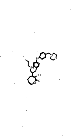 O=C1N/C=C\CC/C(C(CNCCF)Cc2ccc(Sc3ccc(CN4CCOCC4)cc3)cc2)=C\1O